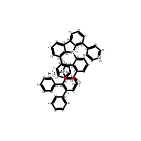 CN(C(=O)c1c(C=O)cccc1-n1c2c(-c3ccncc3)cccc2c2cccc(-c3ccncc3)c21)c1cccc(-c2ccccc2)c1-c1ccccc1